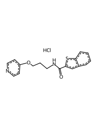 Cl.O=C(NCCCOc1ccncc1)c1cc2ccccc2s1